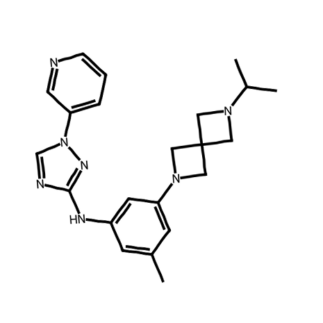 Cc1cc(Nc2ncn(-c3cccnc3)n2)cc(N2CC3(C2)CN(C(C)C)C3)c1